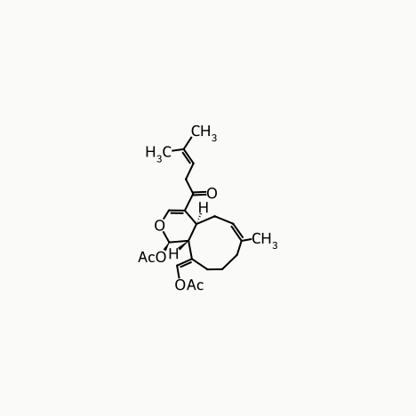 CC(=O)O/C=C1\CCC/C(C)=C\C[C@@H]2C(C(=O)CC=C(C)C)=CO[C@H](OC(C)=O)[C@@H]12